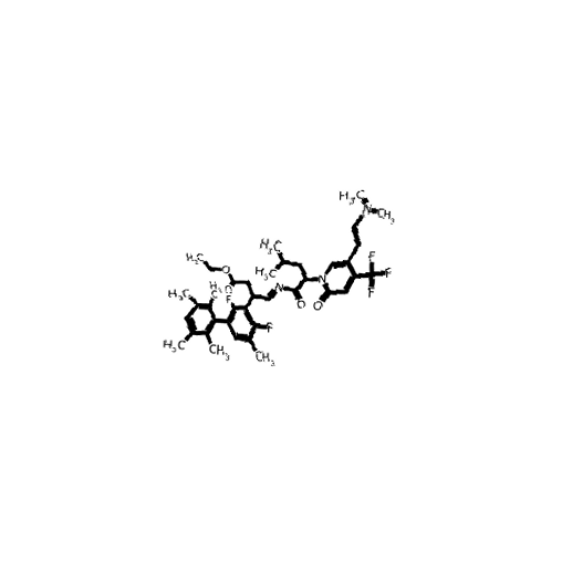 CCOC(=O)CC(/C=N/C(=O)C(CC(C)C)n1cc(CCN(C)C)c(C(F)(F)F)cc1=O)c1c(F)c(C)cc(-c2c(C)c(C)cc(C)c2C)c1F